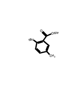 COC(=O)c1cc(C)ccc1C(C)(C)C